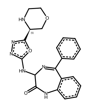 O=C1Nc2ccccc2C(c2ccccc2)=NC1Nc1nnc([C@@H]2COCCN2)o1